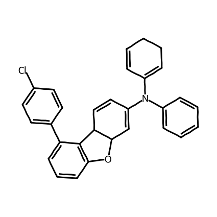 Clc1ccc(-c2cccc3c2C2C=CC(N(C4=CCCC=C4)c4ccccc4)=CC2O3)cc1